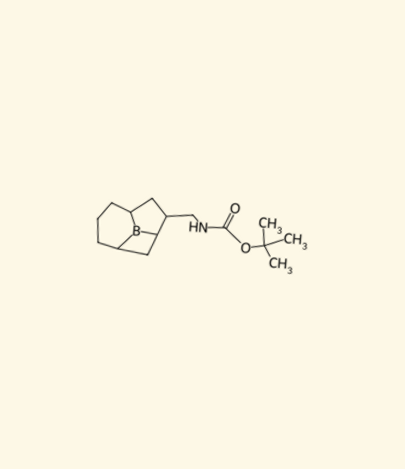 CC(C)(C)OC(=O)NCC1CC2CCCC3CC1B23